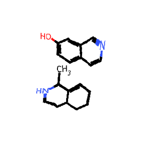 CC1NCCC2CCCC=C21.Oc1ccc2ccncc2c1